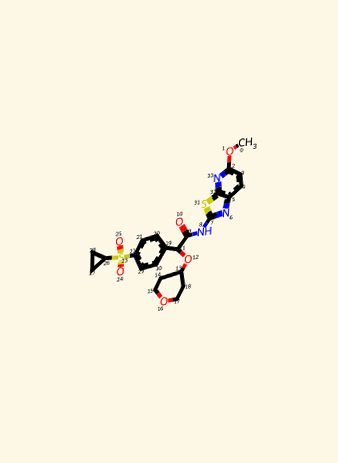 COc1ccc2nc(NC(=O)C(OC3CCOCC3)c3ccc(S(=O)(=O)C4CC4)cc3)sc2n1